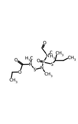 CCOC(=O)N(C)SN(C)P(=O)(SC(C)CC)N(C)C=O